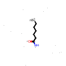 [CH2]CCCCCCCCC([NH])=O